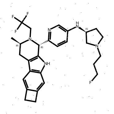 C[C@@H]1Cc2c([nH]c3cc4c(cc23)CC4)[C@@H](c2ccc(N[C@H]3CCN(CCCF)C3)cn2)N1CC(F)(F)F